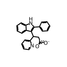 O=[N+]([O-])CC(c1ccccn1)c1c(-c2ccccc2)[nH]c2ccccc12